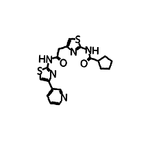 O=C(Cc1csc(NC(=O)C2CCCC2)n1)Nc1nc(-c2cccnc2)cs1